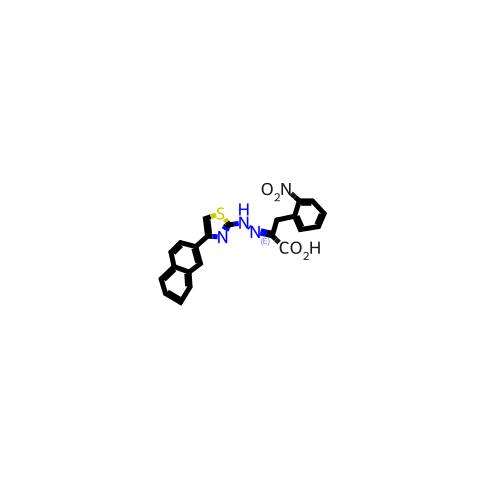 O=C(O)/C(Cc1ccccc1[N+](=O)[O-])=N/Nc1nc(-c2ccc3ccccc3c2)cs1